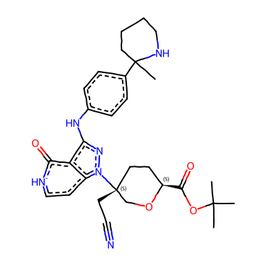 CC(C)(C)OC(=O)[C@@H]1CC[C@@](CC#N)(n2nc(Nc3ccc(C4(C)CCCCN4)cc3)c3c(=O)[nH]ccc32)CO1